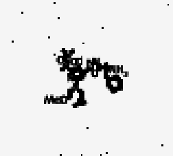 COCCN(CC1CC1C)c1cc(-c2nnc(C(C)(N)Cc3ccccc3)o2)c(Cl)c(N(C)S(=O)(=O)N(C)C)n1